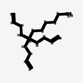 C=CCOC(CCCCC[SiH3])(OCC=C)OCC=C